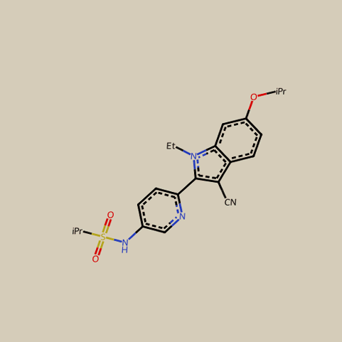 CCn1c(-c2ccc(NS(=O)(=O)C(C)C)cn2)c(C#N)c2ccc(OC(C)C)cc21